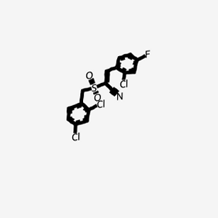 N#CC(=Cc1ccc(F)cc1Cl)S(=O)(=O)Cc1ccc(Cl)cc1Cl